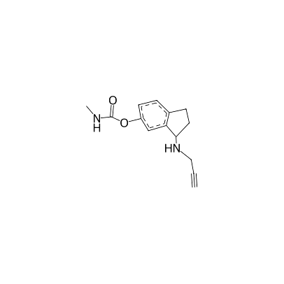 C#CCNC1CCc2ccc(OC(=O)NC)cc21